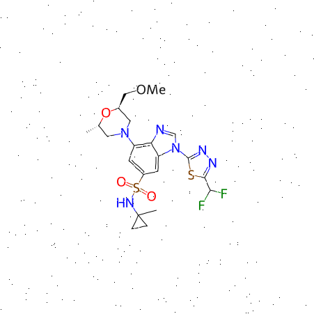 COC[C@H]1CN(c2cc(S(=O)(=O)NC3(C)CC3)cc3c2ncn3-c2nnc(C(F)F)s2)C[C@H](C)O1